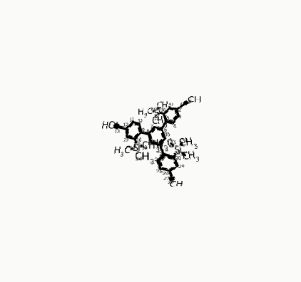 C#Cc1ccc(-c2cc(-c3ccc(C#C)cc3[Si](C)(C)C)cc(-c3ccc(C#C)cc3[Si](C)(C)C)c2)c([Si](C)(C)C)c1